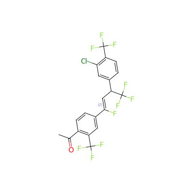 CC(=O)c1ccc(/C(F)=C/C(c2ccc(C(F)(F)F)c(Cl)c2)C(F)(F)F)cc1C(F)(F)F